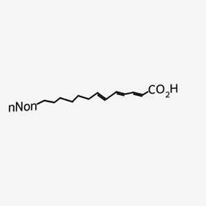 CCCCCCCCCCCCCCC/C=C/C=C/C=C/C(=O)O